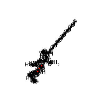 COCCOCCOCCOCCOCCOCCOCCOCCOCCOCCOCCOCCn1cc([C@H](CC(=O)N[C@H](C(=O)N[C@@H](CCCNC(N)=O)C(=O)Nc2ccc(COC(O)N(CCOC34CC5(C)CC6(C)CC(CN/C(C)=C(\C=N)c7ccc(N8CCc9cccc(C(=O)Nc%10nc%11ccccc%11s%10)c9C8)nc7C(=O)O)(C3)C654)CCSO)cc2)C(C)C)N2C(=O)C=CC2=O)[nH]1